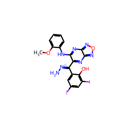 COc1ccccc1Nc1nc2nonc2nc1/C(=N/N)c1cc(I)cc(I)c1O